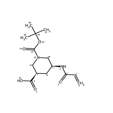 C=CC(=O)N[C@H]1C[C@@H](C(=O)O)CN(C(=O)OC(C)(C)C)C1